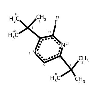 CC(C)(C)c1cnc(C(C)(C)C)c(F)n1